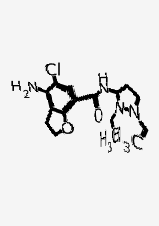 CCN1CCC(NC(=O)c2cc(Cl)c(N)c3c2OCC3)N1CC